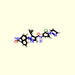 O=C(Nc1ccc(-n2cccn2)c(Cl)c1)c1cnn(-c2ccc3c4c(cccc24)C(=O)N3)c1C1CC1